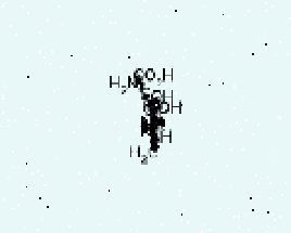 C=CCNc1ncnc2c1ncn2[C@@H]1O[C@H](CSCC[C@H](N)C(=O)O)[C@@H](O)[C@H]1O